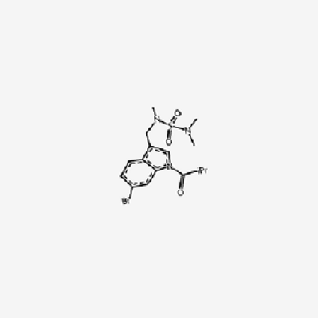 CC(C)C(=O)n1cc(CN(C)S(=O)(=O)N(C)C)c2ccc(Br)cc21